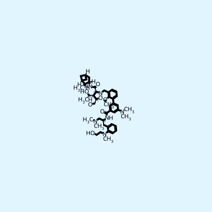 COc1c(CN2O[C@@H](CO)[C@@H]([C@H](C)O)[C@H]2C(=O)N[C@H]2C[C@H]3C[C@H](C3)[C@@H]2C)cccc1-c1cc(C(=O)N[C@@H](Cc2ccccc2N(C)CCO)CN(C)C)cc(N(C)C)c1